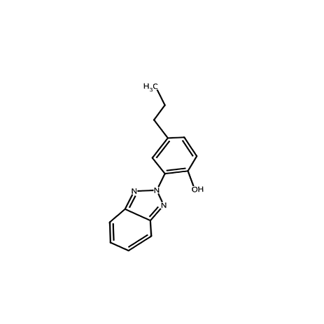 CCCc1ccc(O)c(-n2nc3ccccc3n2)c1